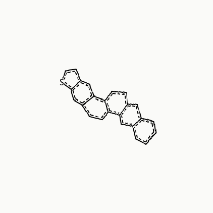 c1ccc2cc3c(ccc4c5cc6ccsc6cc5ccc34)cc2c1